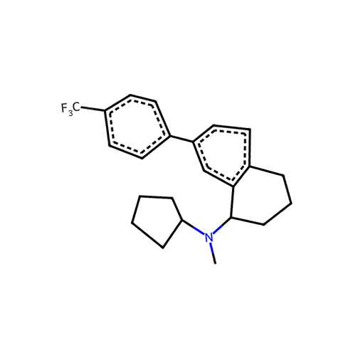 CN(C1CCCC1)C1CCCc2ccc(-c3ccc(C(F)(F)F)cc3)cc21